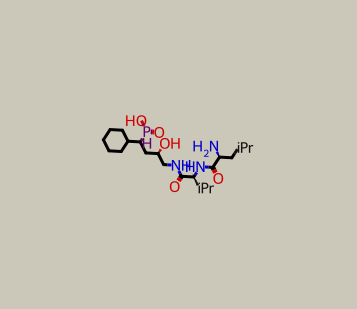 CC(C)C[C@H](N)C(=O)N[C@H](C(=O)NC[C@H](O)CC(C1CCCCC1)[PH](=O)O)C(C)C